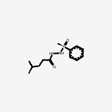 CC(C)CCC(=O)NN[P@](C)(=O)c1ccccc1